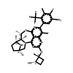 Cc1c(F)c(N)cc(-c2nc3c4c(nc(O[C@]5(C)CC[C@@H]5O)nc4c2F)N2C[C@H]4CC[C@H](N4)[C@H]2[C@H](C)O3)c1C(F)(F)F